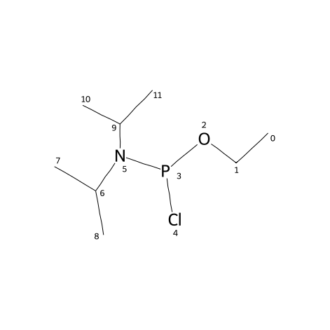 CCOP(Cl)N(C(C)C)C(C)C